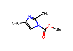 Cc1nc(C=O)cn1C(=O)OC(C)(C)C